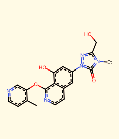 CCn1c(CO)nn(-c2cc(O)c3c(Oc4cnccc4C)nccc3c2)c1=O